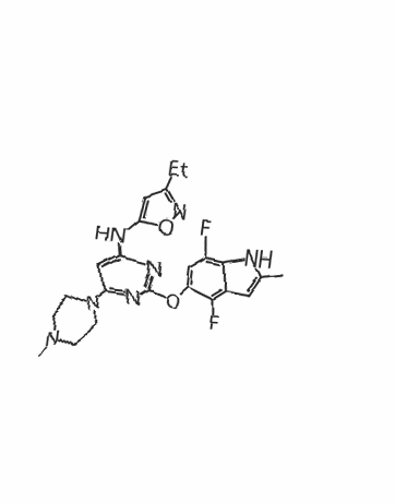 CCc1cc(Nc2cc(N3CCN(C)CC3)nc(Oc3cc(F)c4[nH]c(C)cc4c3F)n2)on1